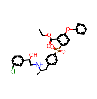 CCOC(=O)c1cc(Oc2ccccc2)ccc1S(=O)(=O)c1ccc(C[C@@H](C)NC[C@H](O)c2cccc(Cl)c2)cc1